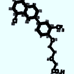 O=C(O)COCCOc1ccc(-c2ccc3cccc(Cl)c3n2)cc1C(F)(F)F